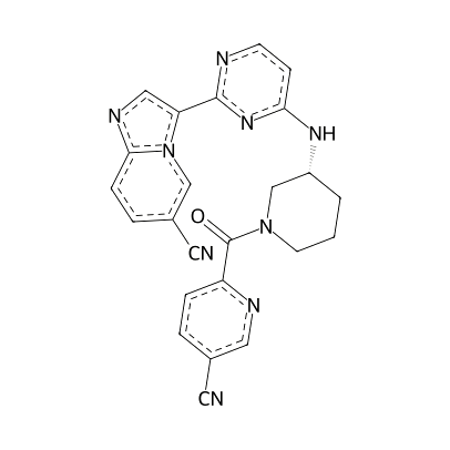 N#Cc1ccc(C(=O)N2CCC[C@@H](Nc3ccnc(-c4cnc5ccc(C#N)cn45)n3)C2)nc1